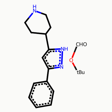 CC(C)(C)OC=O.c1ccc(-c2cc(C3CCNCC3)[nH]n2)cc1